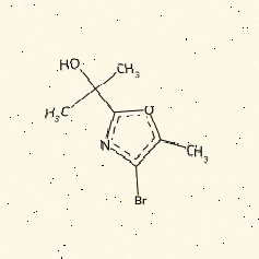 Cc1oc(C(C)(C)O)nc1Br